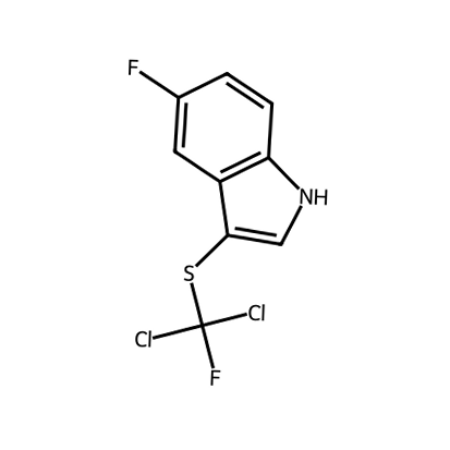 Fc1ccc2[nH]cc(SC(F)(Cl)Cl)c2c1